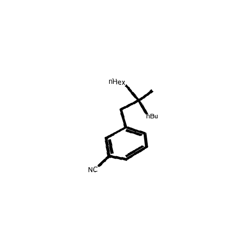 CCCCCCC(C)(CCCC)Cc1cccc(C#N)c1